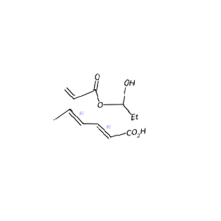 C/C=C/C=C/C(=O)O.C=CC(=O)OC(O)CC